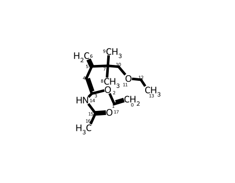 C=CO/C(=C\C(=C)C(C)(C)COCC)NC(C)=O